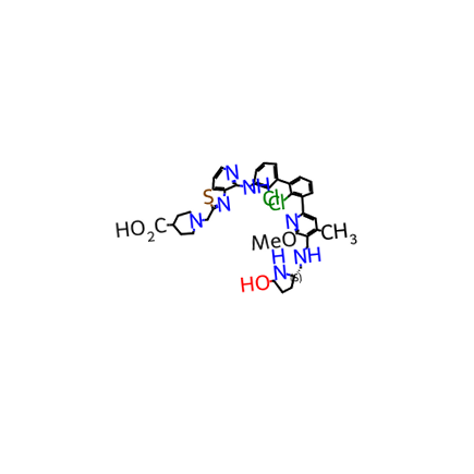 COc1nc(-c2cccc(-c3cccc(Nc4nccc5sc(CN6CCC(C(=O)O)CC6)nc45)c3Cl)c2Cl)cc(C)c1CNC[C@@H]1CCC(O)N1